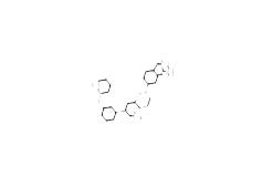 Fc1ccc(Cc2cccc(-c3cnc4c(c3)CC(c3ccc5cn[nH]c5c3)C=C4)c2)nc1